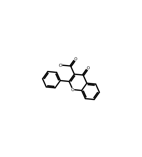 O=C(Cl)c1c(-c2ccccc2)oc2ccccc2c1=O